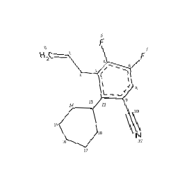 C=CCc1c(F)c(F)cc(C#N)c1C1CCCCC1